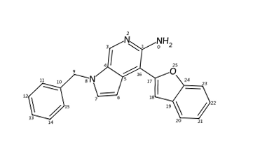 Nc1ncc2c(ccn2Cc2ccccc2)c1-c1cc2ccccc2o1